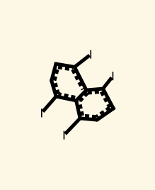 Ic1ccc(I)c2c(I)ccc(I)c12